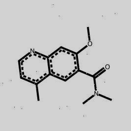 COc1cc2nccc(C)c2cc1C(=O)N(C)C